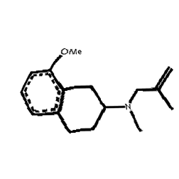 C=C(C)CN(C)C1CCc2cccc(OC)c2C1